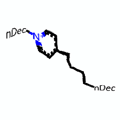 CCCCCCCCCCCCCCc1cc[n+](CCCCCCCCCC)cc1